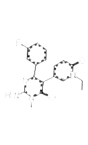 CCn1cc(-c2c(-c3cccc(F)c3)nc(N)n(C)c2=O)ccc1=O